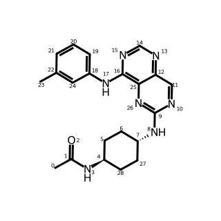 CC(=O)N[C@H]1CC[C@H](Nc2ncc3ncnc(Nc4cccc(C)c4)c3n2)CC1